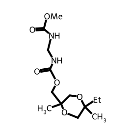 CCC1(C)COC(C)(COC(=O)NCNC(=O)OC)CO1